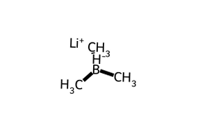 C[BH-](C)C.[Li+]